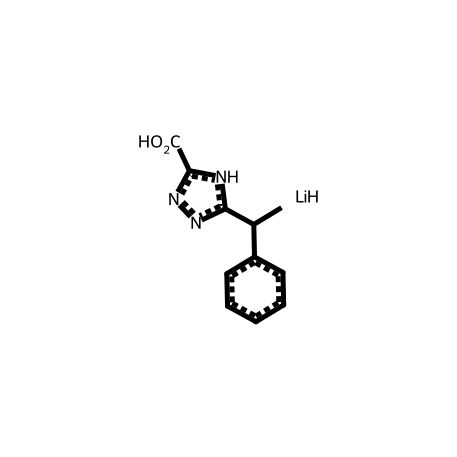 CC(c1ccccc1)c1nnc(C(=O)O)[nH]1.[LiH]